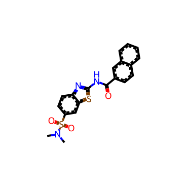 CN(C)S(=O)(=O)c1ccc2nc(NC(=O)c3ccc4ccccc4c3)sc2c1